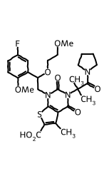 COCCOC(Cn1c(=O)n(C(C)(C)C(=O)N2CCCC2)c(=O)c2c(C)c(C(=O)O)sc21)c1cc(F)ccc1OC